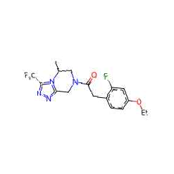 CCOc1ccc(CC(=O)N2Cc3nnc(C(F)(F)F)n3C(C)C2)c(F)c1